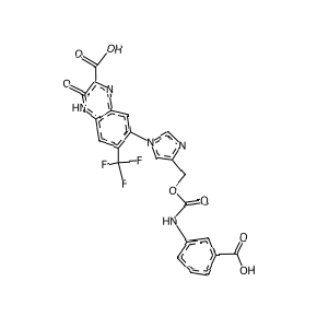 O=C(Nc1cccc(C(=O)O)c1)OCc1cn(-c2cc3nc(C(=O)O)c(=O)[nH]c3cc2C(F)(F)F)cn1